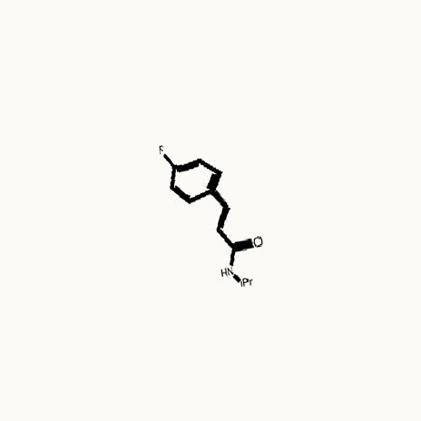 CC(C)NC(=O)C=Cc1ccc(F)cc1